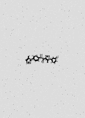 Cc1cnnn1-c1ccc(NC(=O)c2nnn(-c3cccc(Cl)c3)c2C)cc1